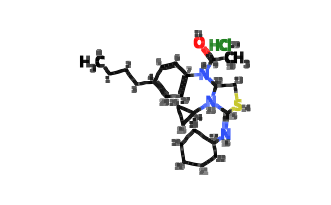 CCCCc1ccc(N(C(C)=O)C2CSC(=NC3CCCCC3)N2C2CC2)cc1.Cl